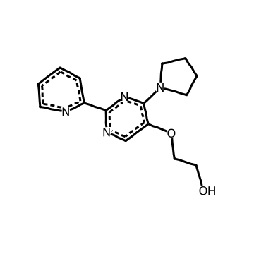 OCCOc1cnc(-c2ccccn2)nc1N1CCCC1